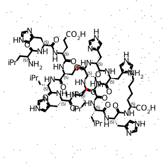 CC(C)C[C@H](NC(=O)[C@H](CC(C)C)NC(=O)[C@H](Cc1c[nH]cn1)NC(=O)[C@H](Cc1c[nH]cn1)NC(=O)[C@H](CC(C)C)NC(=O)[C@H](CC(C)C)NC(=O)[C@H](Cc1c[nH]cn1)NC(=O)[C@H](CC(C)C)NC(=O)[C@H](CC(C)C)NC(=O)[C@H](CCC(=O)O)NC(=O)[C@H](Cc1c[nH]cn1)NC(=O)[C@@H](N)CC(C)C)C(=O)N[C@@H](Cc1c[nH]cn1)C(=O)N[C@@H](CCCCN)C(=O)O